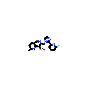 CCCc1c(Cn2ccnc2-c2cccc(F)n2)ncc2ccc(C)nc12